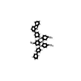 CC(C)(C)c1ccc2c(c1)B1c3cc(C(C)(C)C)ccc3N(c3ccc(-c4cccc5c4sc4ccccc45)cc3)c3cc(C(C)(C)C)cc(c31)N2c1ccc(-c2ccccc2)cc1